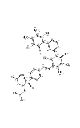 CCCCC(CC)CN(CC(CC)CCCC)S(=O)(=O)c1ccc(/N=N/c2c(C)c(C#N)c(=O)n(-c3cccc(-n4c(O)c(N)c(C)c(C#N)c4=O)c3)c2O)cc1